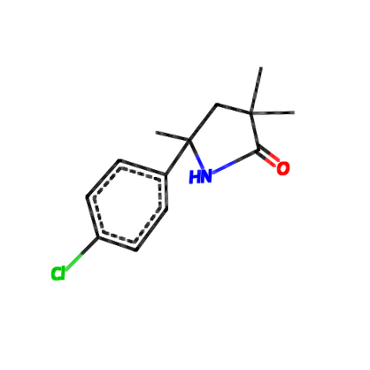 CC1(C)CC(C)(c2ccc(Cl)cc2)NC1=O